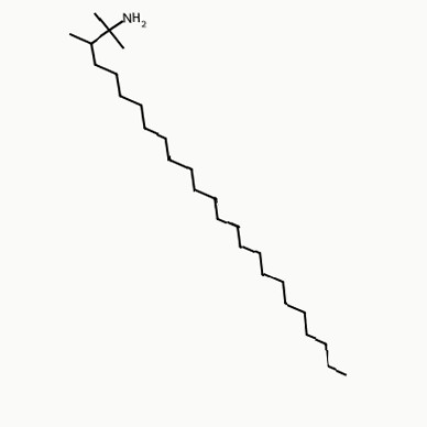 CCCCCCCCCCCCCCCCCCCCCCC(C)C(C)(C)N